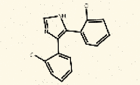 Clc1ccccc1-c1nc[nH]c1-c1ccccc1Cl